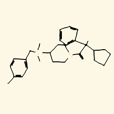 C[N+](C)(Cc1ccc(Cl)cc1)C1CCN(C(=O)C(O)(c2ccccc2)C2CCCC2)CC1